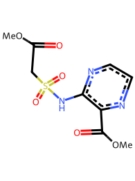 COC(=O)CS(=O)(=O)Nc1nccnc1C(=O)OC